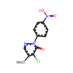 COc1cnn(-c2ccc([N+](=O)O)cc2)c(=O)c1Cl